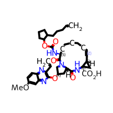 C=CCCCC1CCCC1OC(=O)N[C@H]1CCCCC/C=C\[C@@H]2C[C@@]2(C(=O)O)NC(=O)[C@@H]2C[C@@H](Oc3nc4cc(OC)ccc4nc3C=C)CN2C1=O